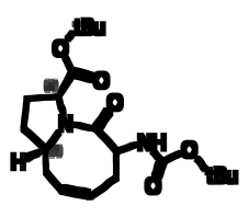 CC(C)(C)OC(=O)NC1CC=CC[C@@H]2CC[C@@H](C(=O)OC(C)(C)C)N2C1=O